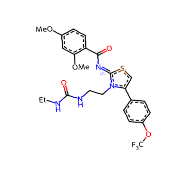 CCNC(=O)NCCn1c(-c2ccc(OC(F)(F)F)cc2)cs/c1=N\C(=O)c1ccc(OC)cc1OC